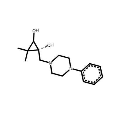 CC1(C)C(O)[C@@]1(O)CN1CCN(c2ccccc2)CC1